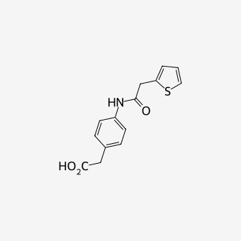 O=C(O)Cc1ccc(NC(=O)Cc2cccs2)cc1